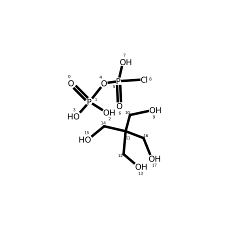 O=P(O)(O)OP(=O)(O)Cl.OCC(CO)(CO)CO